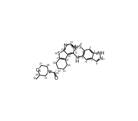 CSc1cc2[nH]ncc2cc1Nc1ncnc2sc3c(c12)CC[C@H](C(=O)N1CCOC(C)C1)C3